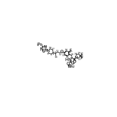 CC(C)c1noc(N2CCC(C(C)CCOc3ccc(C[C@H](NC(=O)OC(C)(C)C)C(=O)N4CCC(F)(F)C4)c(F)c3)CC2)n1